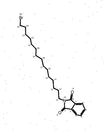 O=C1c2ccccc2C(=O)N1CCCCCCCCCCCCCCCBr